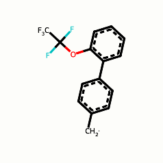 [CH2]c1ccc(-c2ccccc2OC(F)(F)C(F)(F)F)cc1